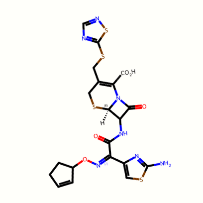 Nc1nc(/C(=N/OC2C=CCC2)C(=O)NC2C(=O)N3C(C(=O)O)=C(CSc4ncns4)CS[C@H]23)cs1